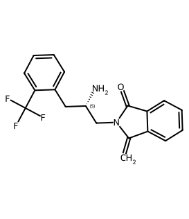 C=C1c2ccccc2C(=O)N1C[C@@H](N)Cc1ccccc1C(F)(F)F